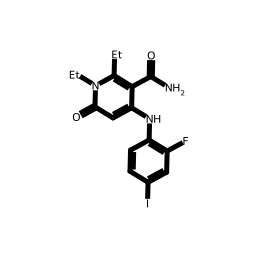 CCc1c(C(N)=O)c(Nc2ccc(I)cc2F)cc(=O)n1CC